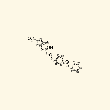 O=[N+]([O-])c1cn(CC(O)COCc2ccc(OCc3ccccc3)cc2)c(Br)n1